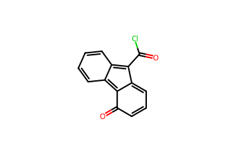 O=C(Cl)C1=c2ccccc2=C2C(=O)C=CC=C12